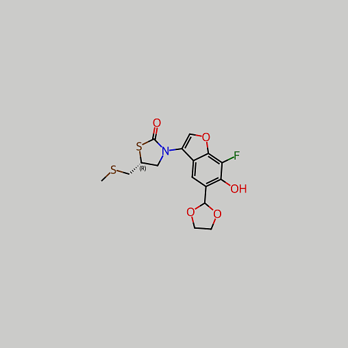 CSC[C@H]1CN(c2coc3c(F)c(O)c(C4OCCO4)cc23)C(=O)S1